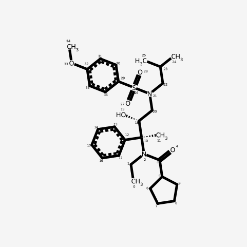 CCN(C(=O)C1CCCC1)[C@@](C)(c1ccccc1)[C@H](O)CN(CC(C)C)S(=O)(=O)c1ccc(OC)cc1